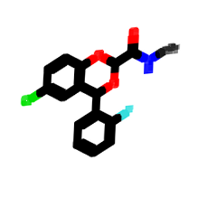 CCCNC(=O)C1Oc2ccc(Cl)cc2C(c2ccccc2F)O1